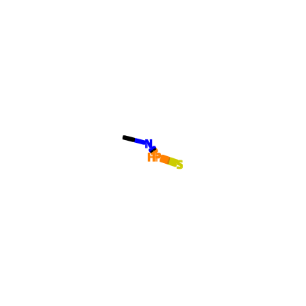 CN=[PH]=S